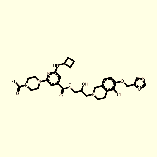 CCC(=O)N1CCN(c2cc(C(=O)NCC(O)CN3CCc4c(ccc(OCc5cnco5)c4Cl)C3)cc(NC3CCC3)n2)CC1